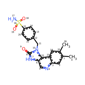 Cc1cc2ncc3[nH]c(=O)n(Cc4ccc(S(N)(=O)=O)cc4)c3c2cc1C